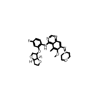 COc1c(N=S2CCOCC2)cc2ncnc(Nc3ccc(F)cc3OC3CO[C@@H]4CCO[C@H]34)c2c1C